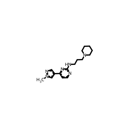 Cn1cc(-c2ccnc(NCCCN3CCCCC3)n2)cn1